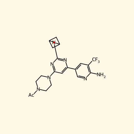 CC(=O)N1CCN(c2cc(-c3cnc(N)c(C(F)(F)F)c3)nc(N3CC4CC3C4)n2)CC1